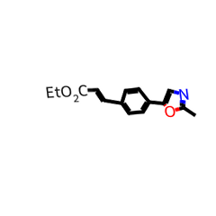 CCOC(=O)C=Cc1ccc(-c2cnc(C)o2)cc1